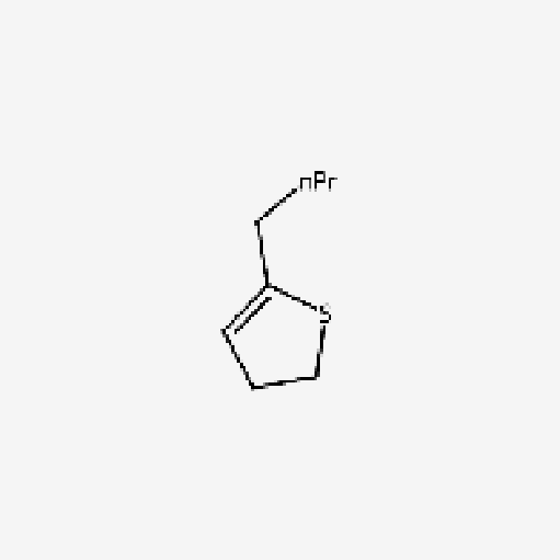 CCCCC1=CCCS1